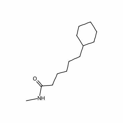 CNC(=O)CCCCCC1CCCCC1